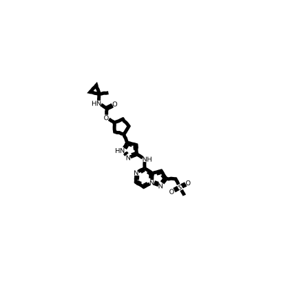 CC1(NC(=O)OC2CCC(c3cc(Nc4nccn5nc(CS(C)(=O)=O)cc45)n[nH]3)C2)CC1